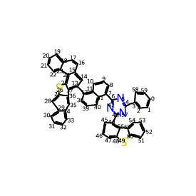 c1ccc(-c2nc(-c3cccc4c(-c5cc6ccc7ccccc7c6c6sc7cc8ccccc8cc7c56)cccc34)nc(-c3cccc4sc5ccccc5c34)n2)cc1